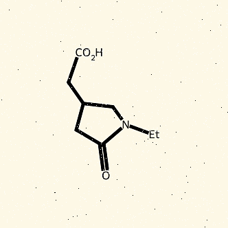 CCN1CC(CC(=O)O)CC1=O